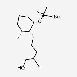 CC(CO)CCC[C@@H]1[C@H](C)CCC[C@@H]1O[Si](C)(C)C(C)(C)C